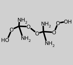 NC(N)(OO)OOC(N)(N)OOO